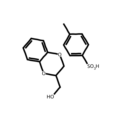 Cc1ccc(S(=O)(=O)O)cc1.OCC1COc2ccccc2O1